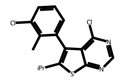 Cc1c(Cl)cccc1-c1c(C(C)C)sc2ncnc(Cl)c12